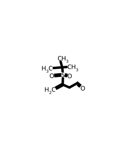 C=C(C[C]=O)S(=O)(=O)C(C)(C)C